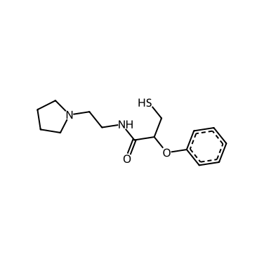 O=C(NCCN1CCCC1)C(CS)Oc1ccccc1